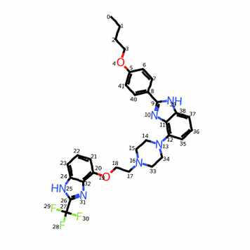 CCCCOc1ccc(-c2nc3c(N4CCN(CCOc5cccc6[nH]c(C(F)(F)F)nc56)CC4)cccc3[nH]2)cc1